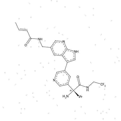 CC=CC(=O)NCc1cnc2[nH]cc(-c3cncc([C@@](N)(C(=O)NCC(F)(F)F)C(C)C)c3)c2c1